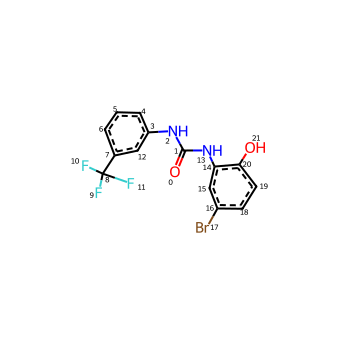 O=C(Nc1cccc(C(F)(F)F)c1)Nc1cc(Br)ccc1O